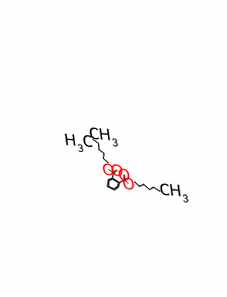 CCCCCCCOC(=O)c1ccccc1C(=O)OCCCCCC(C)C